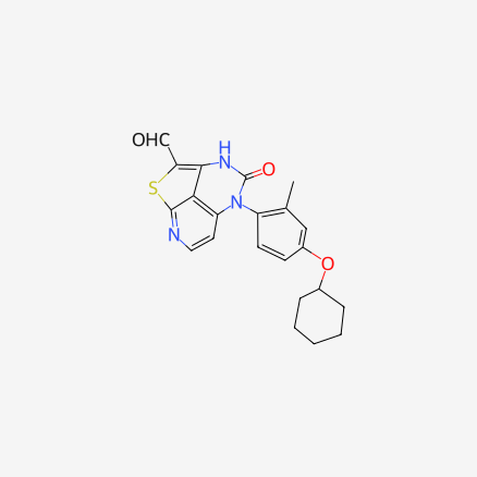 Cc1cc(OC2CCCCC2)ccc1N1C(=O)Nc2c(C=O)sc3nccc1c23